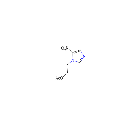 CC(=O)OCCn1cncc1[N+](=O)[O-]